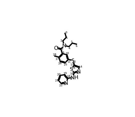 CCCN(CCC)C(=O)c1cc(Sc2cnc(Nc3ccccn3)s2)ccc1C